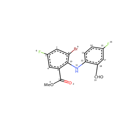 COC(=O)c1cc(F)cc(Br)c1Nc1ccc(F)cc1C=O